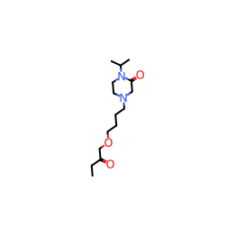 CCC(=O)COCCCCN1CCN(C(C)C)C(=O)C1